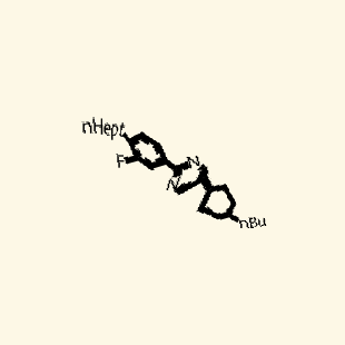 CCCCCCCc1ccc(-c2ncc(C3CCC(CCCC)CC3)cn2)cc1F